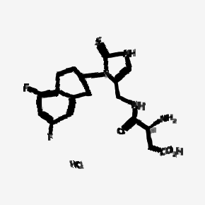 Cl.N[C@@H](CC(=O)O)C(=O)NCc1c[nH]c(=S)n1C1CCc2c(F)cc(F)cc2C1